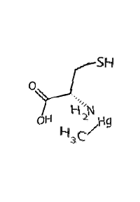 N[C@@H](CS)C(=O)O.[CH3][Hg]